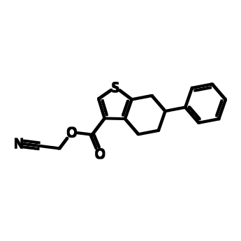 N#CCOC(=O)c1csc2c1CCC(c1ccccc1)C2